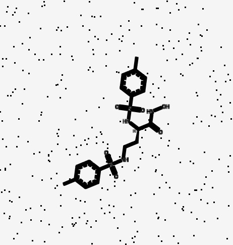 Cc1ccc(S(=O)(=O)NCC[C@@H](NS(=O)(=O)c2ccc(C)cc2)C(=O)NO)cc1